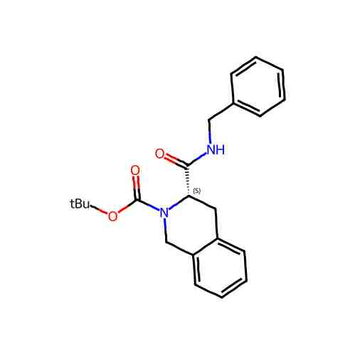 CC(C)(C)OC(=O)N1Cc2ccccc2C[C@H]1C(=O)NCc1ccccc1